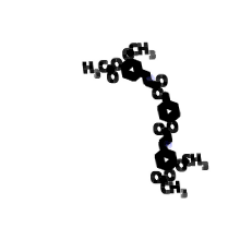 COc1cc(/C=C/C(=O)OCc2ccc(OC(=O)/C=C/c3ccc(OC(C)=O)c(OC)c3)cc2)ccc1OC(C)=O